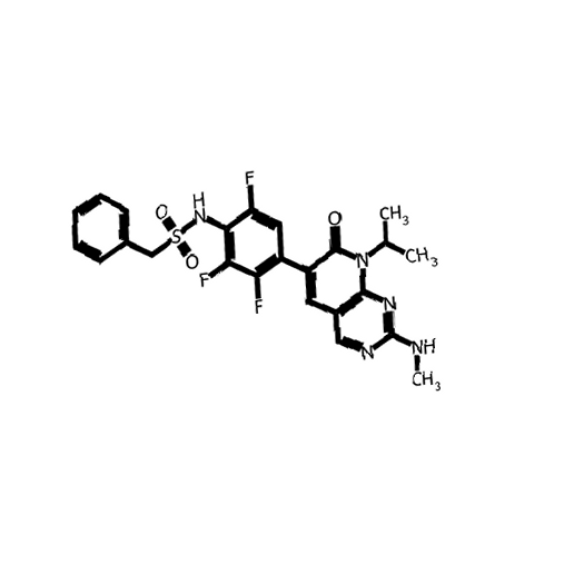 CNc1ncc2cc(-c3cc(F)c(NS(=O)(=O)Cc4ccccc4)c(F)c3F)c(=O)n(C(C)C)c2n1